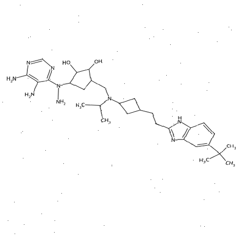 CC(C)N(CC1CC(N(N)c2ncnc(N)c2N)C(O)C1O)C1CC(CCc2nc3cc(C(C)(C)C)ccc3[nH]2)C1